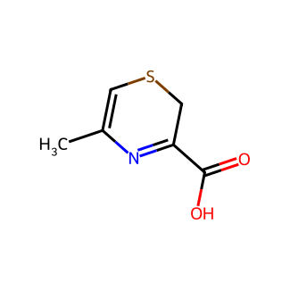 CC1=CSCC(C(=O)O)=N1